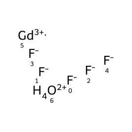 [F-].[F-].[F-].[F-].[F-].[Gd+3].[OH4+2]